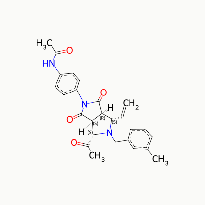 C=C[C@H]1[C@@H]2C(=O)N(c3ccc(NC(C)=O)cc3)C(=O)[C@@H]2[C@@H](C(C)=O)N1Cc1cccc(C)c1